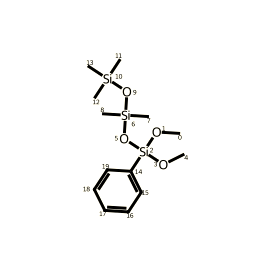 CO[Si](OC)(O[Si](C)(C)O[Si](C)(C)C)c1ccccc1